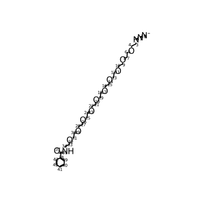 [N-]=[N+]=NCCOCCOCCOCCOCCOCCOCCOCCOCCOCCOCCNC(=O)c1ccccc1